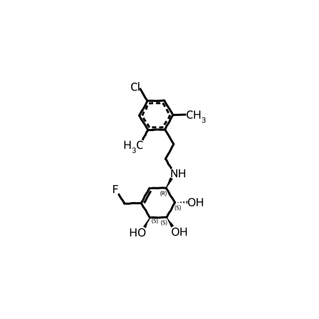 Cc1cc(Cl)cc(C)c1CCN[C@@H]1C=C(CF)[C@H](O)[C@H](O)[C@H]1O